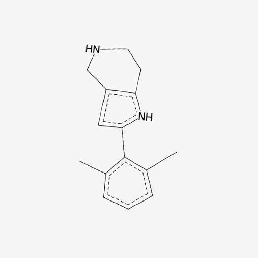 Cc1cccc(C)c1-c1cc2c([nH]1)CCNC2